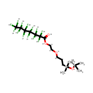 C[Si](C)(C)O[Si](C)(C)CCCOCCOC(=O)C(F)(F)C(F)(F)C(F)(F)C(F)(F)C(F)(F)C(F)(F)F